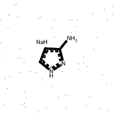 Nc1cc[nH]n1.[NaH]